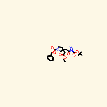 CCOC(=O)CC1(CC(=O)NC(=O)OC(C)(C)C)CCN(C(=O)OCc2ccccc2)C1